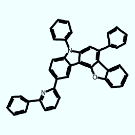 c1ccc(-c2cccc(-c3ccc4c(c3)c3c5oc6ccccc6c5c(-c5ccccc5)cc3n4-c3ccccc3)n2)cc1